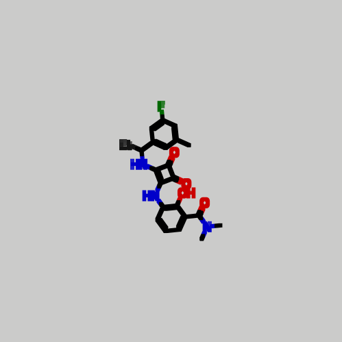 CCC(Nc1c(Nc2cccc(C(=O)N(C)C)c2O)c(=O)c1=O)c1cc(C)cc(F)c1